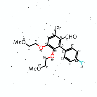 COCCOc1cc(C(C)C)c(C=O)c(-c2ccc(F)cc2)c1OCCOC